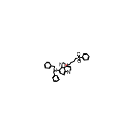 O=S(=O)(CCCCN1CN=C2C(N(Cc3ccccc3)Cc3ccccc3)=CC=C3N=CC=CC321)c1ccccc1